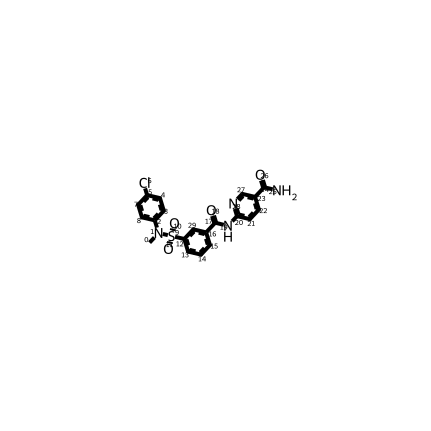 CN(c1ccc(Cl)cc1)S(=O)(=O)c1cccc(C(=O)Nc2ccc(C(N)=O)cn2)c1